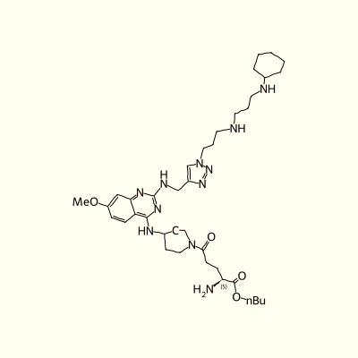 CCCCOC(=O)[C@@H](N)CCC(=O)N1CCC(Nc2nc(NCc3cn(CCCNCCCNC4CCCCC4)nn3)nc3cc(OC)ccc23)CC1